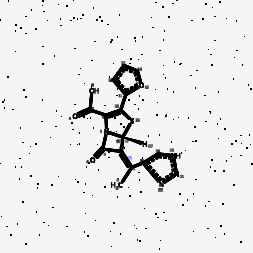 C/C(=C1\C(=O)N2C(C(=O)O)=C(c3ccco3)S[C@H]12)c1c[nH]nn1